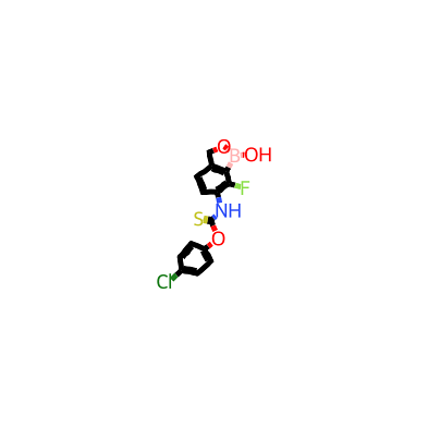 OB1OCc2ccc(NC(=S)Oc3ccc(Cl)cc3)c(F)c21